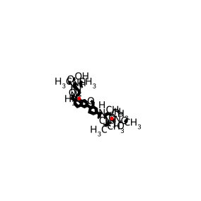 C/C=C(\N/C(CN(C(=O)CNC(=O)OC)[C@@H](C)CC)=C(\C)CC)c1ccc2c(c1)COc1cc(C)c(/C=C\c3c[nH]c(CN(CCC)C(=O)[C@H](CC)NC(=O)O)n3)cc1-2